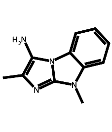 Cc1nc2n(C)c3ccccc3n2c1N